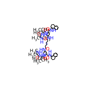 CN[C@@H](C)C(=O)N[C@H](C(=O)N1C[C@@H](NC(=O)C/C=C/CC(=O)N[C@H]2C[C@@H](C(=O)N[C@@H]3CCCc4ccccc43)N(C(=O)[C@@H](NC(=O)[C@H](C)NC)C(C)(C)C)C2)C[C@H]1C(=O)N[C@@H]1CCCc2ccccc21)C(C)(C)C